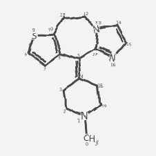 CN1CCC(=C2c3ccsc3CCn3ccnc32)CC1